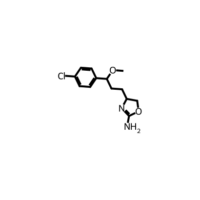 COC(CCC1COC(N)=N1)c1ccc(Cl)cc1